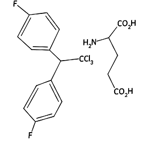 Fc1ccc(C(c2ccc(F)cc2)C(Cl)(Cl)Cl)cc1.NC(CCC(=O)O)C(=O)O